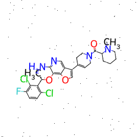 C[C@@H](Oc1c(N)ncc2c(C3=CCN(C(=O)C4CCCCN4C)CC3)coc12)c1c(Cl)ccc(F)c1Cl